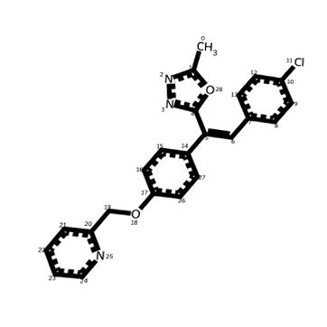 Cc1nnc(C(=Cc2ccc(Cl)cc2)c2ccc(OCc3ccccn3)cc2)o1